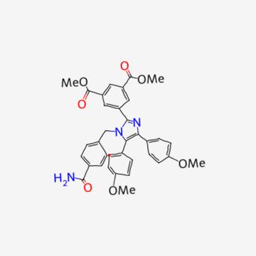 COC(=O)c1cc(C(=O)OC)cc(-c2nc(-c3ccc(OC)cc3)c(-c3ccc(OC)cc3)n2Cc2ccc(C(N)=O)cc2)c1